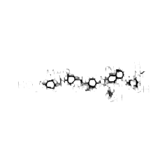 C=CNc1nc(O)nc(Nc2cccc3c(O)c(N=Nc4ccc(N=Nc5cc(OC)c(N=Nc6ccc(C(=O)O)cc6)cc5OC)c(C)c4)c(SOOO)cc23)n1